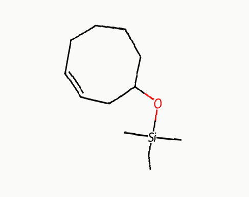 C[Si](C)(C)OC1CC=CCCCC1